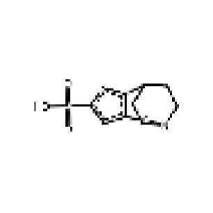 O=S(=O)(O)c1cc2c(s1)C1CCN(CC1)C2